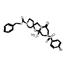 O=C(OCc1ccccc1)N1CCC2(CC1)CN1C(=O)CN(S(=O)(=O)c3ccc(Br)cc3)CC1(C(=O)O)O2